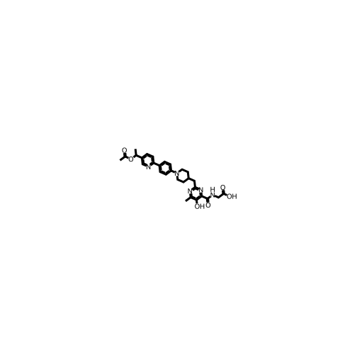 CC(=O)OC(C)c1ccc(-c2ccc(N3CCC(Cc4nc(C)c(O)c(C(=O)NCC(=O)O)n4)CC3)cc2)nc1